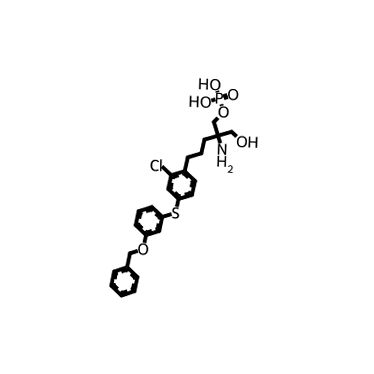 NC(CO)(CCCc1ccc(Sc2cccc(OCc3ccccc3)c2)cc1Cl)COP(=O)(O)O